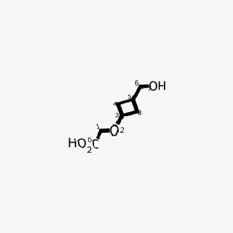 O=C(O)COC1CC(CO)C1